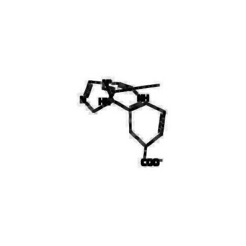 CC1=C[N+]23C=CNC4=C(CC(C(=O)[O-])C=C4)C2(CN=C3)N1